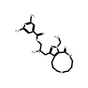 CCn1nc(C[C@@H](C)COC(=O)c2cc(C)nc(C)c2)c2c1C(=O)NCCCOCCC2